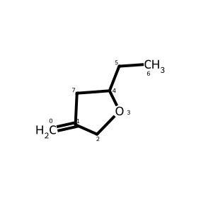 C=C1COC(CC)C1